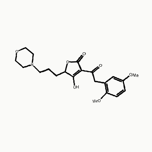 COc1ccc(OC)c(CC(=O)C2=C(O)C(CCCN3CCOCC3)OC2=O)c1